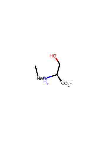 CNC.N[C@@H](CO)C(=O)O